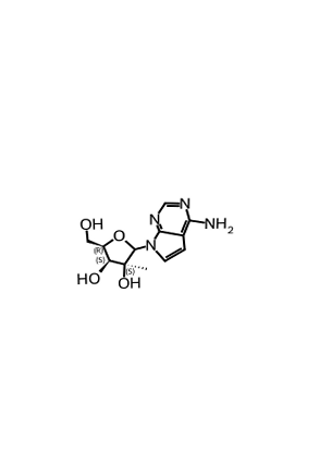 C[C@@]1(O)C(n2ccc3c(N)ncnc32)O[C@H](CO)[C@@H]1O